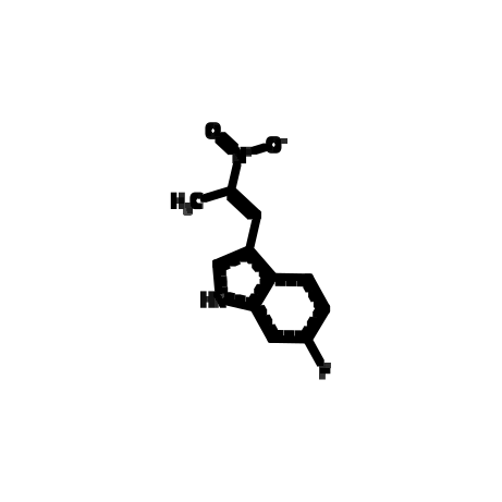 C/C(=C\c1c[nH]c2cc(F)ccc12)[N+](=O)[O-]